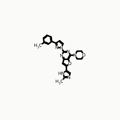 Cc1cccc(-c2ccn(-c3nc(N4CCOCC4)c4oc(-c5cnc(C)[nH]5)cc4n3)n2)c1